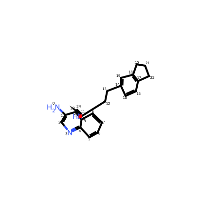 NC1=CN=C2C=CC=CC23NC(CCc2ccc4c(c2)CCC4)=CC=C13